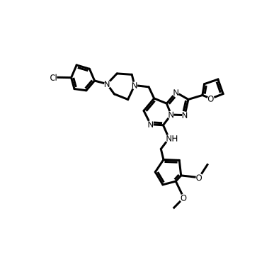 COc1ccc(CNc2ncc(CN3CCN(c4ccc(Cl)cc4)CC3)c3nc(-c4ccco4)nn23)cc1OC